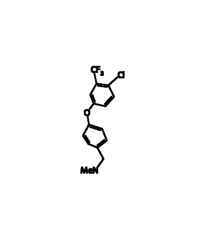 CNCc1ccc(Oc2ccc(Cl)c(C(F)(F)F)c2)cc1